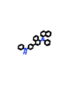 c1ccc(Nc2ccc(-c3ccc(N(c4ccccc4)c4cccc5ccccc45)c4ccccc34)cc2)cc1